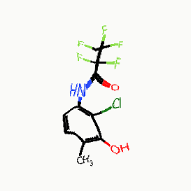 Cc1ccc(NC(=O)C(F)(F)C(F)(F)F)c(Cl)c1O